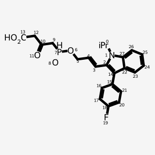 CC(C)n1c(C=CCO[PH](=O)CC(=O)CC(=O)O)c(-c2ccc(F)cc2)c2ccccc21